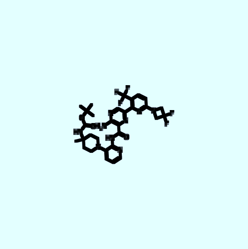 CC1(NC(=O)OC(C)(C)C)CCN(c2cccnc2NC(=O)c2nc(-c3nc(N4CC(F)(F)C4)ccc3C(F)(F)F)cnc2N)CC1